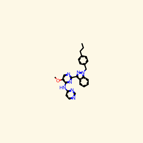 CCCc1ccc(Cn2nc(-c3ncc(OC)c(Nc4ccncn4)n3)c3ccccc32)cc1